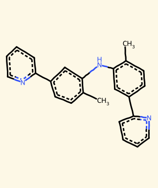 Cc1ccc(-c2ccccn2)cc1Nc1cc(-c2ccccn2)ccc1C